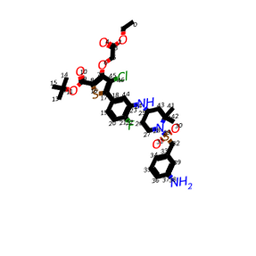 CCOC(=O)COc1c(C(=O)OC(C)(C)C)sc(-c2ccc(F)c(NC3CCN(S(=O)(=O)Cc4cccc(N)c4)C(C)(C)C3)c2)c1Cl